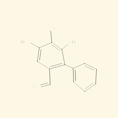 C=Cc1cc(C)c(C)c(C)c1-c1ccccc1